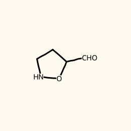 O=CC1CCNO1